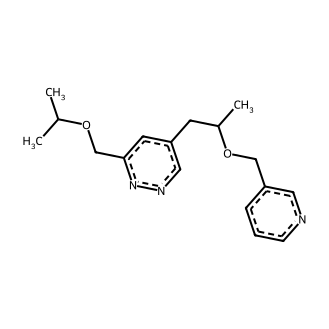 CC(C)OCc1cc(CC(C)OCc2cccnc2)cnn1